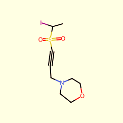 CC(I)S(=O)(=O)C#CCN1CCOCC1